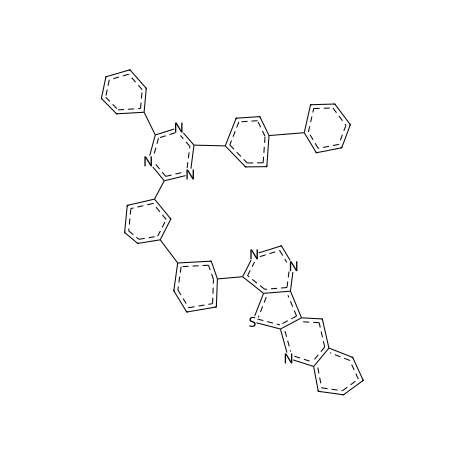 c1ccc(-c2ccc(-c3nc(-c4ccccc4)nc(-c4cccc(-c5cccc(-c6ncnc7c6sc6nc8ccccc8cc67)c5)c4)n3)cc2)cc1